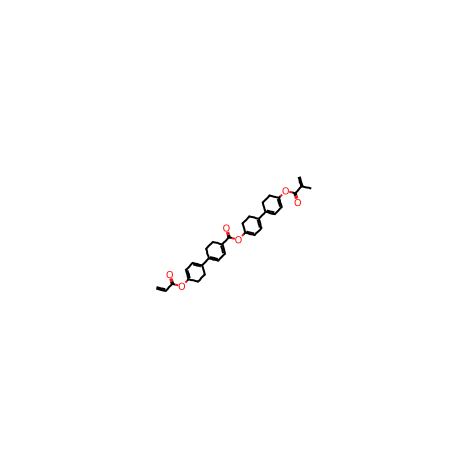 C=CC(=O)OC1=CC=C(C2=CC=C(C(=O)OC3=CC=C(C4=CC=C(OC(=O)C(=C)C)CC4)CC3)CC2)CC1